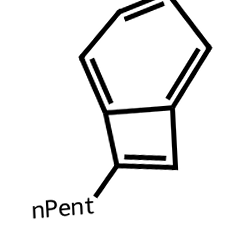 CCCCCC1=Cc2ccccc21